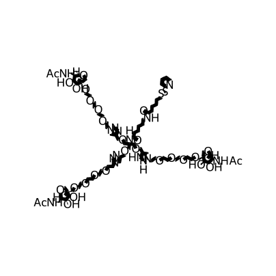 CC(=O)N[C@H]1[C@H]2OC[C@](COCCOCCOCCOCCN3C=C(COCC(COCc4cn(CCOCCOCCOCCOC[C@@]56CO[C@@H](O5)[C@H](NC(C)=O)[C@@H](O)[C@H]6O)nn4)(COCc4cn(CCOCCOCCOCCOC[C@@]56CO[C@@H](O5)[C@H](NC(C)=O)[C@@H](O)[C@H]6O)nn4)NC(=O)CCCCCNC(=O)CCCCCSSc4ccccn4)NN3)(O2)[C@H](O)[C@@H]1O